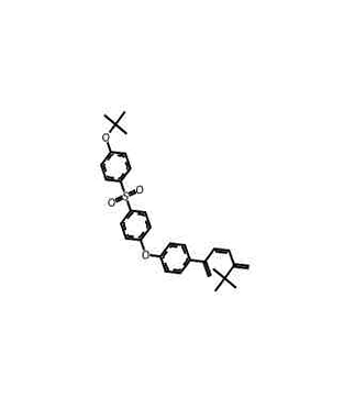 C=C(/C=C\C(=C)C(C)(C)C)c1ccc(Oc2ccc(S(=O)(=O)c3ccc(OC(C)(C)C)cc3)cc2)cc1